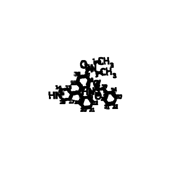 CCN(CC)C(=O)c1ccc(C(=C2CCNCC2)c2ccccc2NS(=O)(=O)Cc2ccccc2)cc1